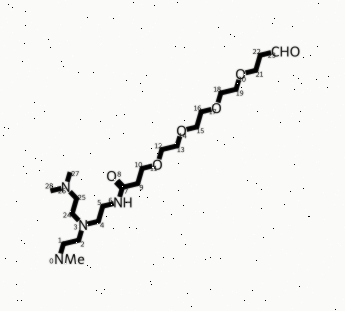 CNCCN(CCNC(=O)CCOCCOCCOCCOCCC=O)CCN(C)C